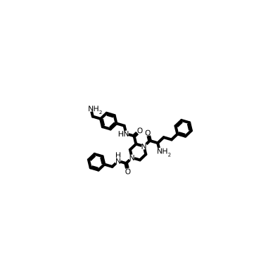 NCc1ccc(CNC(=O)C2CN(C(=O)NCc3ccccc3)CCN2C(=O)C(N)CCc2ccccc2)cc1